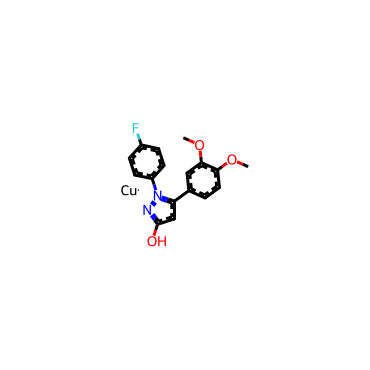 COc1ccc(-c2cc(O)nn2-c2ccc(F)cc2)cc1OC.[Cu]